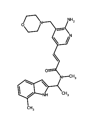 Cc1cccc2cc(C(C)N(C)C(=O)/C=C/c3cnc(N)c(CN4CCOCC4)c3)[nH]c12